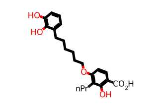 CCCc1c(OCCCCCCc2cccc(O)c2O)ccc(C(=O)O)c1O